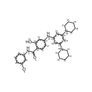 O=C(Nc1cccc(Cl)c1)c1ccc(Nc2nc(N3CCCCC3)nc(N3CCCCC3)n2)cc1O